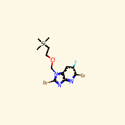 C[Si](C)(C)CCOCn1c(Br)nc2nc(Br)c(F)cc21